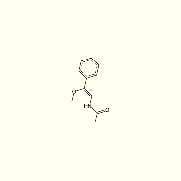 CO/C(=C\NC(C)=O)c1ccccc1